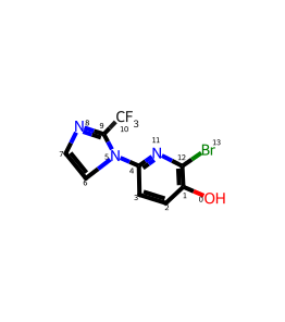 Oc1ccc(-n2ccnc2C(F)(F)F)nc1Br